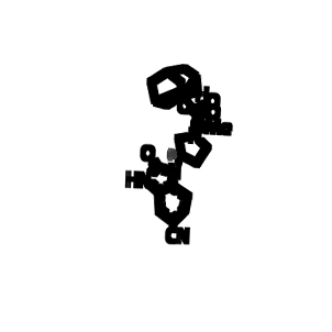 COC(=O)[C@]12CC3CC(C1)[C@@H](OC(=O)N1CC[C@@H](n4c(=O)[nH]c5cc(C#N)ccc54)C1)C(C3)C2